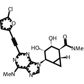 CNC(=O)[C@@H]1[C@@H](O)[C@@H](O)[C@H](n2cnc3c(NC)nc(C#Cc4ccc(Cl)o4)nc32)C2C[C@H]21